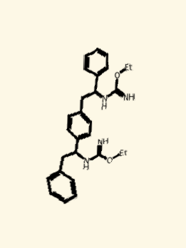 CCOC(=N)NC(Cc1ccc(C(Cc2ccccc2)NC(=N)OCC)cc1)c1ccccc1